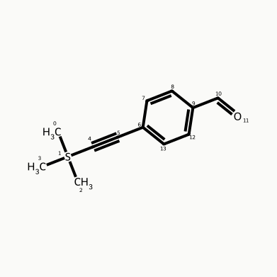 CS(C)(C)C#Cc1ccc(C=O)cc1